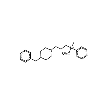 C[N+](C=O)(CCCN1CCC(Cc2ccccc2)CC1)c1ccccc1